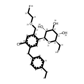 CCc1ccc(Cc2cc([C@@H]3O[C@H](CF)[C@@H](O)[C@H](O)[C@H]3O)c(COCCF)cc2Cl)cc1